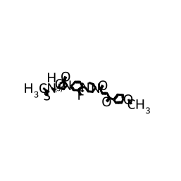 COc1ccc(C(=O)C=CC(=O)N2CCN(c3ccc(N4C[C@H](CNC(C)=S)OC4=O)cc3F)CC2)cc1